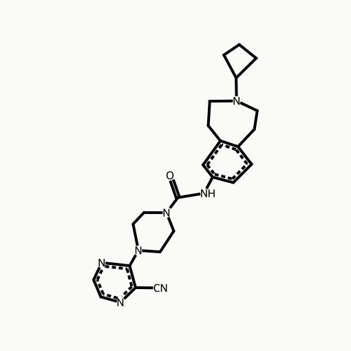 N#Cc1nccnc1N1CCN(C(=O)Nc2ccc3c(c2)CCN(C2CCC2)CC3)CC1